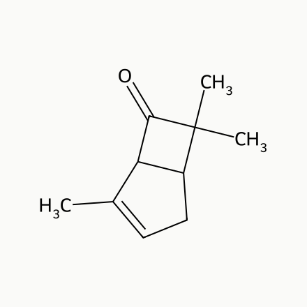 CC1=CCC2C1C(=O)C2(C)C